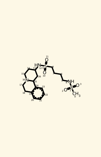 CS(=O)(=O)NCCCCS(=O)(=O)NC1CCN2CCc3ccccc3C2C1